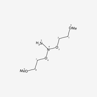 COCCON([SiH3])OCCOC